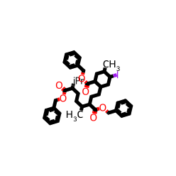 CC(C)C(CCC(C)C(CCC1CC(I)C(C)CC1C(=O)OCc1ccccc1)C(=O)OCc1ccccc1)C(=O)OCc1ccccc1